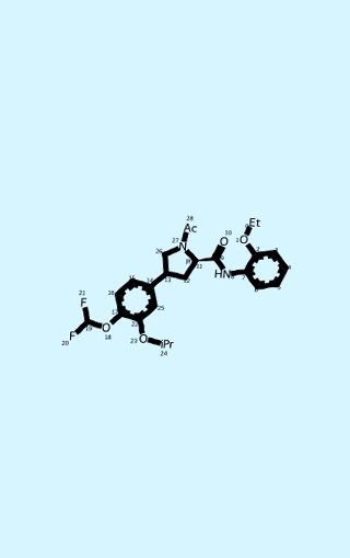 CCOc1ccccc1NC(=O)[C@H]1CC(c2ccc(OC(F)F)c(OC(C)C)c2)CN1C(C)=O